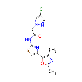 Cc1nc(C)c(-c2csc(NC(=O)Cn3cc(Cl)cn3)n2)o1